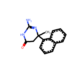 CC1(c2cccc3ccccc23)CC(=O)NC(N)=N1